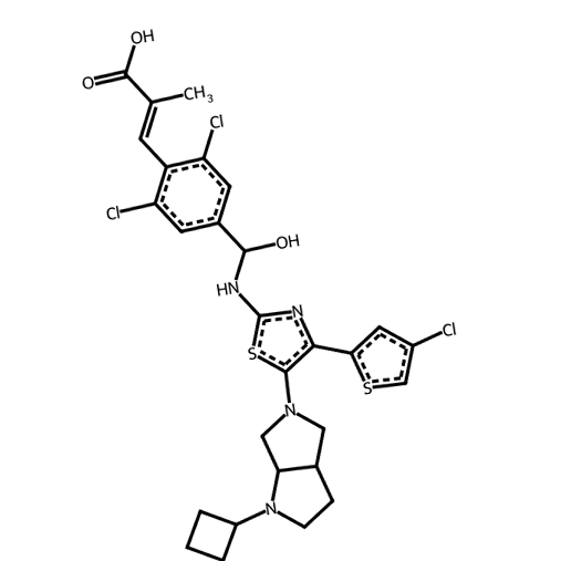 C/C(=C\c1c(Cl)cc(C(O)Nc2nc(-c3cc(Cl)cs3)c(N3CC4CCN(C5CCC5)C4C3)s2)cc1Cl)C(=O)O